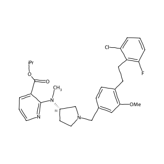 COc1cc(CN2CC[C@H](N(C)c3ncccc3C(=O)OC(C)C)C2)ccc1CCc1c(F)cccc1Cl